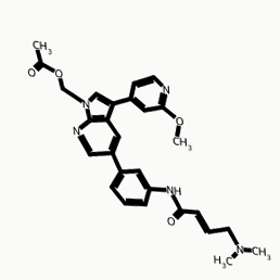 COc1cc(-c2cn(COC(C)=O)c3ncc(-c4cccc(NC(=O)/C=C/CN(C)C)c4)cc23)ccn1